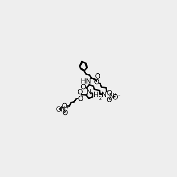 NCCCCC(NC(CCc1ccccc1)C(=O)OCCCCO[N+](=O)[O-])C(=O)N1CCCC1C(=O)OCCCCO[N+](=O)[O-]